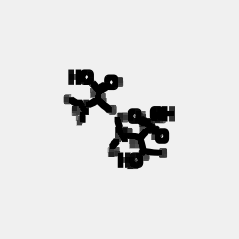 CC(C(=O)O)N(C)C.CC(O)C(N(C)C)S(=O)(=O)O